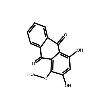 O=C1c2ccccc2C(=O)c2c(OO)c(O)cc(O)c21